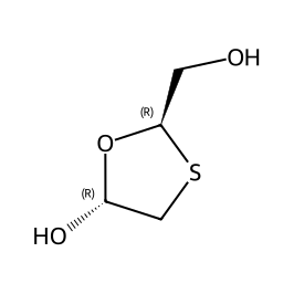 OC[C@@H]1O[C@@H](O)CS1